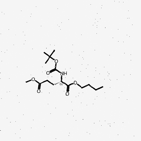 CCCCOC(=O)[C@H](CCC(=O)OC)NC(=O)OC(C)(C)C